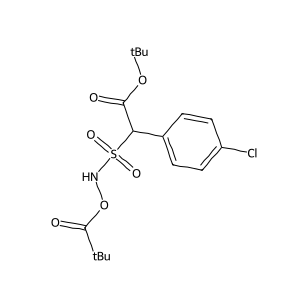 CC(C)(C)OC(=O)C(c1ccc(Cl)cc1)S(=O)(=O)NOC(=O)C(C)(C)C